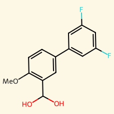 COc1ccc(-c2cc(F)cc(F)c2)cc1C(O)O